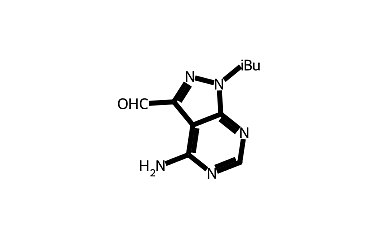 CCC(C)n1nc(C=O)c2c(N)ncnc21